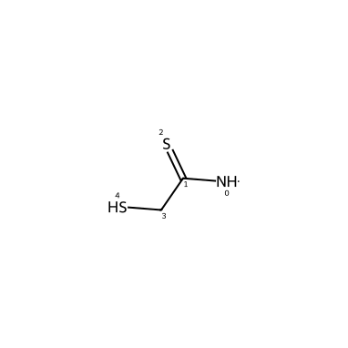 [NH]C(=S)CS